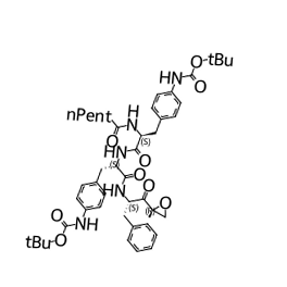 CCCCCC(=O)N[C@@H](Cc1ccc(NC(=O)OC(C)(C)C)cc1)C(=O)N[C@@H](Cc1ccc(NC(=O)OC(C)(C)C)cc1)C(=O)N[C@@H](Cc1ccccc1)C(=O)[C@@]1(C)CO1